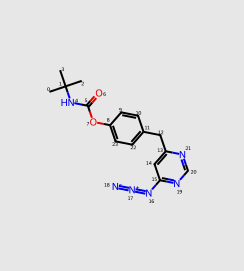 CC(C)(C)NC(=O)Oc1ccc(Cc2cc(N=[N+]=[N-])ncn2)cc1